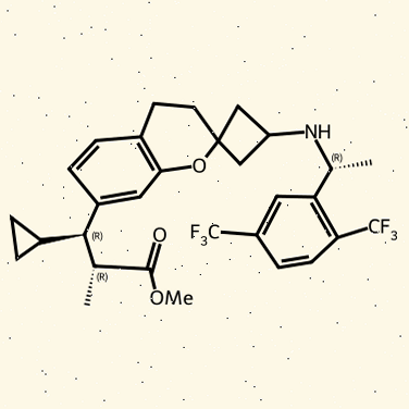 COC(=O)[C@H](C)[C@H](c1ccc2c(c1)OC1(CC2)CC(N[C@H](C)c2cc(C(F)(F)F)ccc2C(F)(F)F)C1)C1CC1